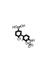 O=S1(=O)Nc2ccc(-c3cc(B(O)O)ccc3C(F)(F)F)cc2O1